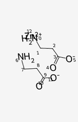 NCCC(=O)[O-].NCCC(=O)[O-].[Zn+2]